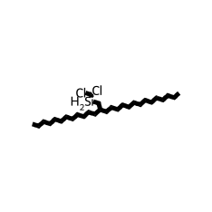 CCCCCCCCCCCCCCC(CCCCCCCCCCCC)C[SiH2]C(Cl)Cl